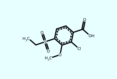 CCS(=O)(=O)c1ccc(C(=O)O)c(Cl)c1OC